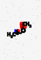 Cc1cc(CC2CCCC(OS(C)(=O)=O)C2)on1